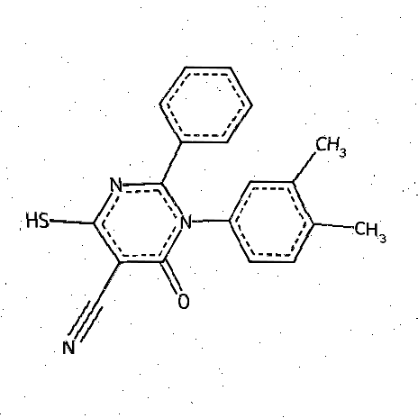 Cc1ccc(-n2c(-c3ccccc3)nc(S)c(C#N)c2=O)cc1C